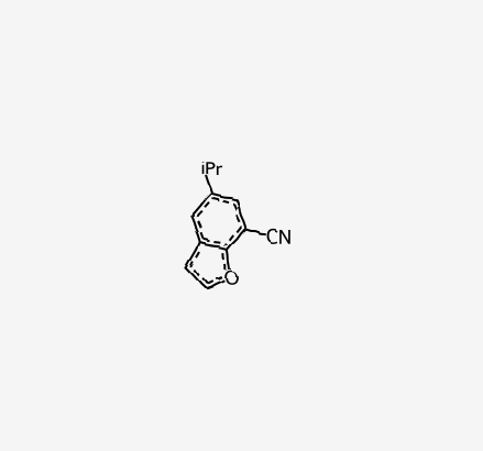 CC(C)c1cc(C#N)c2occc2c1